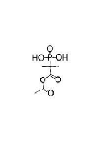 CC(=O)OC(=O)C(C)(C)P(=O)(O)O